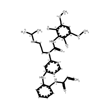 C=CC(=O)Nc1ccccc1Nc1cc(N(CCNC(C)C)C(=O)Nc2c(Cl)c(OC)cc(OC)c2Cl)ncn1